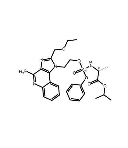 CCOCc1nc2c(N)nc3ccccc3c2n1CCO[P@@](=O)(N[C@H](C)C(=O)OC(C)C)Oc1ccccc1